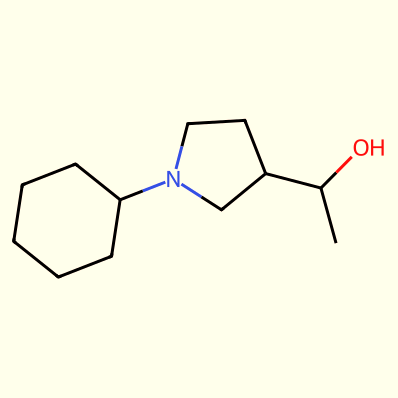 CC(O)C1CCN(C2CCCCC2)C1